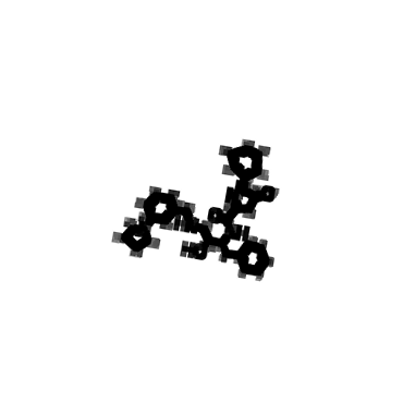 O=C(N[C@@H](Cc1ccccc1)[C@@H](O)CNCc1cccc(N2CCCC2)c1)C1=NN(c2ccccc2)C(=O)C1